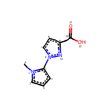 Cn1cccc1-n1ccc(C(=O)O)n1